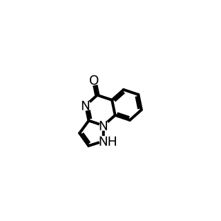 O=c1nc2cc[nH]n2c2ccccc12